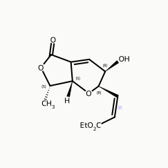 CCOC(=O)/C=C\[C@H]1O[C@H]2C(=C[C@H]1O)C(=O)O[C@H]2C